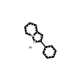 [Br-].c1ccc(-c2cc3cccc[n+]3o2)cc1